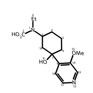 CCN(C(=O)O)C1CCCC(O)(c2ccncc2OC)C1